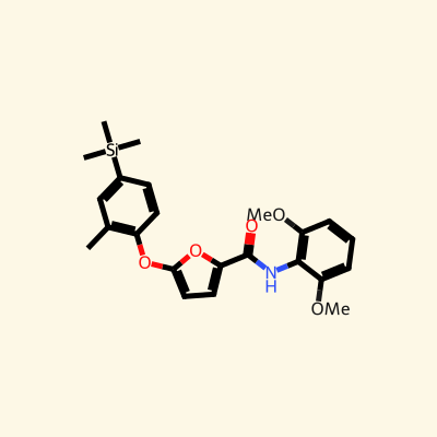 COc1cccc(OC)c1NC(=O)c1ccc(Oc2ccc([Si](C)(C)C)cc2C)o1